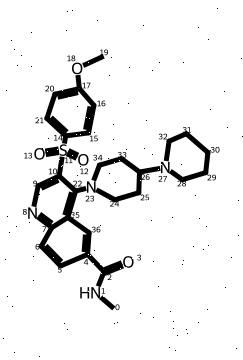 CNC(=O)c1ccc2ncc(S(=O)(=O)c3ccc(OC)cc3)c(N3CCC(N4CCCCC4)CC3)c2c1